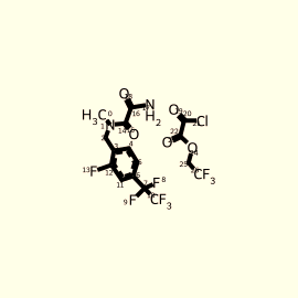 CN(Cc1ccc(C(F)(F)C(F)(F)F)cc1F)C(=O)C(N)=O.O=C(Cl)C(=O)OCC(F)(F)F